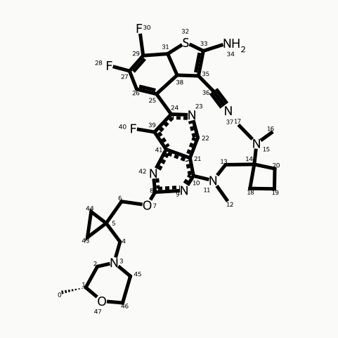 C[C@@H]1CN(CC2(COc3nc(N(C)CC4(N(C)C)CCC4)c4cnc(C5=CC(F)=C(F)C6SC(N)=C(C#N)C56)c(F)c4n3)CC2)CCO1